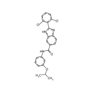 CC(C)Oc1cccc(NC(=O)c2ccc3nc(-c4c(Cl)cccc4Cl)[nH]c3c2)c1